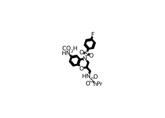 CCCS(=O)(=O)NCC1CN(S(=O)(=O)c2ccc(F)cc2)c2cc(NC(=O)O)ccc2O1